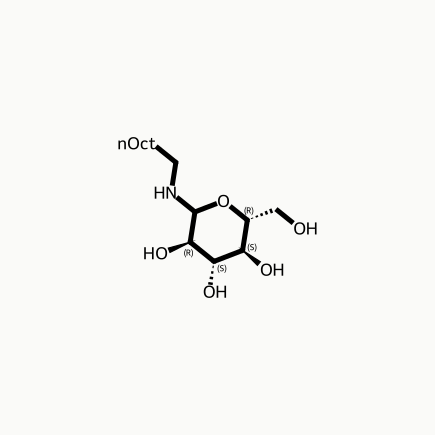 CCCCCCCCCNC1O[C@H](CO)[C@@H](O)[C@H](O)[C@H]1O